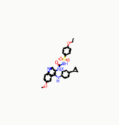 CCOc1ccc(S(=O)(=O)NC(=O)Nc2cnc3ccc(OC)cc3c2Nc2ccc(C3CC3)cc2)cc1